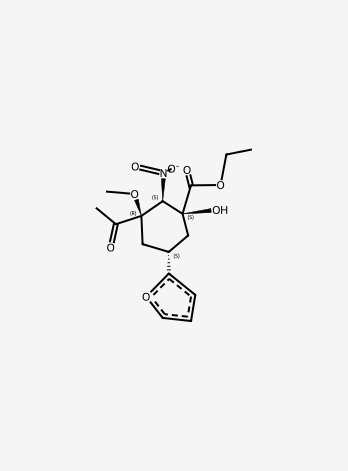 CCOC(=O)[C@]1(O)C[C@H](c2ccco2)C[C@](OC)(C(C)=O)[C@H]1[N+](=O)[O-]